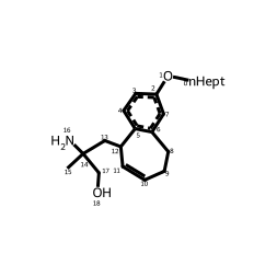 CCCCCCCOc1ccc2c(c1)CCC=CC2CC(C)(N)CO